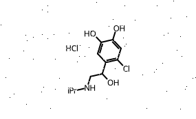 CC(C)NCC(O)c1cc(O)c(O)cc1Cl.Cl